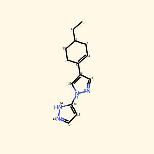 CCC1CC=C(c2cnn(-c3ccn[nH]3)c2)CC1